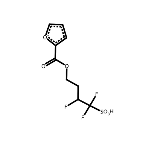 O=C(OCCC(F)C(F)(F)S(=O)(=O)O)c1ccco1